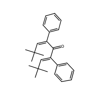 CC(C)(C)C=C(C(=O)C(=CC(C)(C)C)c1ccccc1)c1ccccc1